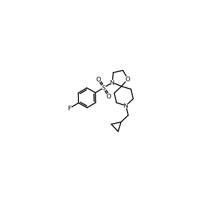 O=S(=O)(c1ccc(F)cc1)N1CCOC12CCN(CC1CC1)CC2